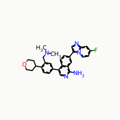 CN(C)Cc1cc(-c2cnc(N)c3cc(-c4cnc5cc(F)ccn45)ccc23)ccc1C1CCOCC1